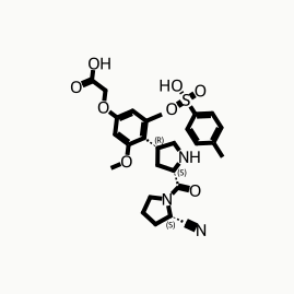 COc1cc(OCC(=O)O)cc(C)c1[C@@H]1CN[C@H](C(=O)N2CCC[C@H]2C#N)C1.Cc1ccc(S(=O)(=O)O)cc1